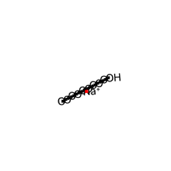 [Na+].[O-]CCOCCOCCOCCOCCOCCOCCOCCOCCO